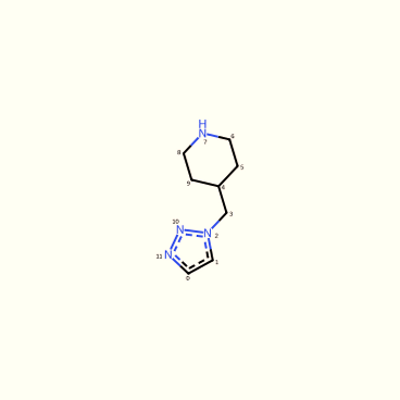 c1cn(CC2CCNCC2)nn1